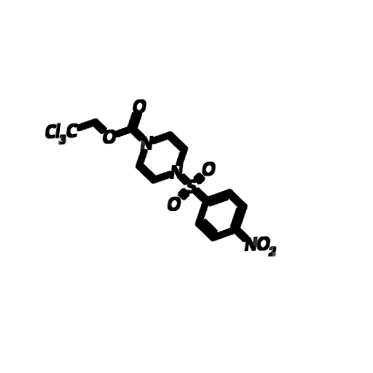 O=C(OCC(Cl)(Cl)Cl)N1CCN(S(=O)(=O)c2ccc([N+](=O)[O-])cc2)CC1